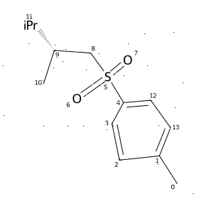 Cc1ccc(S(=O)(=O)C[C@H](C)C(C)C)cc1